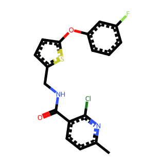 Cc1ccc(C(=O)NCc2ccc(Oc3cccc(F)c3)s2)c(Cl)n1